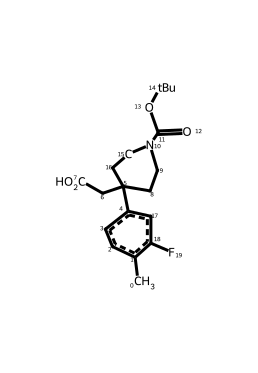 Cc1ccc(C2(CC(=O)O)CCN(C(=O)OC(C)(C)C)CC2)cc1F